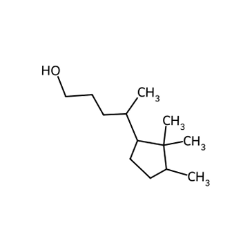 CC(CCCO)C1CCC(C)C1(C)C